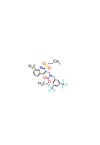 CCCS(=O)(=O)c1nc2c(C)cccc2cc1CN(Cc1cc(C(F)(F)F)cc(C(F)(F)F)c1)C(=O)OCC